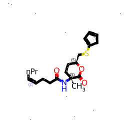 CCC/C=C\CCC(=O)N[C@@]1(C)CC[C@@H](CSC2=CC=CC2)OC1=O